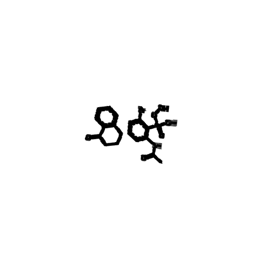 CC(=O)Nc1cccc(Br)c1[As](=O)(O)OO.O=C1CCCc2ccccc21